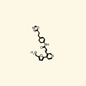 NCc1ccc(-c2ccncc2/C=C/C(=O)NC2=CC=C(CCc3nnco3)CC2)o1